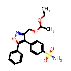 CCOC(C)OCc1noc(-c2ccccc2)c1-c1ccc(S(N)(=O)=O)cc1